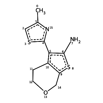 Cc1csc(-c2c(N)sc3c2CCOC3)n1